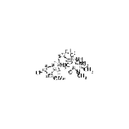 C=C(N)N(C)C(=O)C(C)(C)[C@](C)(N)c1cc(Nc2ccc(Cl)cc2OC)ccc1F